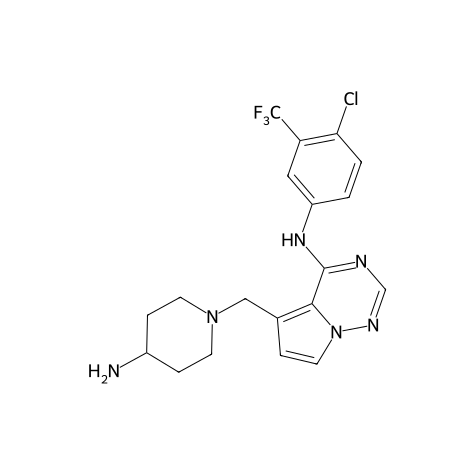 NC1CCN(Cc2ccn3ncnc(Nc4ccc(Cl)c(C(F)(F)F)c4)c23)CC1